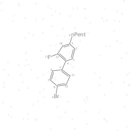 CCCCCc1ccc(-c2ccc(Br)cc2)c(F)c1